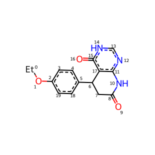 CCOc1ccc(C2CC(=O)Nc3nc[nH]c(=O)c32)cc1